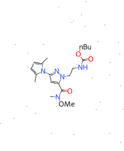 CCCCOC(=O)NCCn1nc(-n2c(C)ccc2C)cc1C(=O)N(C)OC